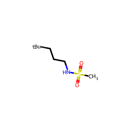 CC(C)(C)CCCNS(C)(=O)=O